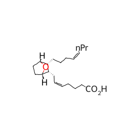 CCC/C=C\CCC[C@@H]1[C@H](C/C=C\CCCC(=O)O)[C@@H]2CC[C@H]1O2